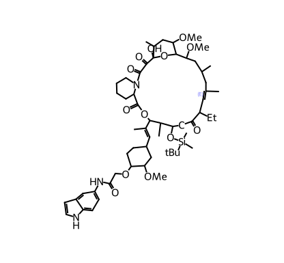 CCC1/C=C(\C)CC(C)CC(OC)C2OC(O)(C(=O)C(=O)N3CCCCC3C(=O)OC(C(C)=CC3CCC(OCC(=O)Nc4ccc5[nH]ccc5c4)C(OC)C3)C(C)C(O[Si](C)(C)C(C)(C)C)CC1=O)C(C)CC2OC